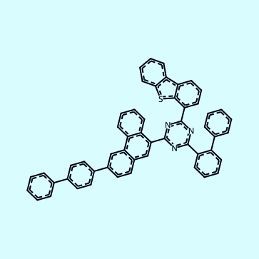 c1ccc(-c2ccc(-c3ccc4cc(-c5nc(-c6ccccc6-c6ccccc6)nc(-c6cccc7c6sc6ccccc67)n5)c5ccccc5c4c3)cc2)cc1